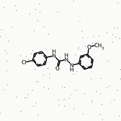 COc1cccc(NNC(=O)Nc2ccc(Cl)cc2)c1